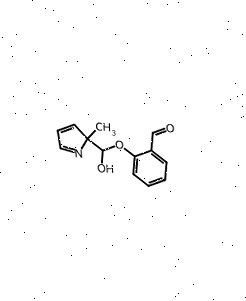 CC1(C(O)Oc2ccccc2C=O)C=CC=N1